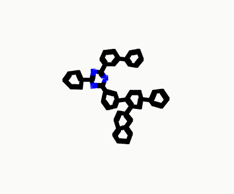 c1ccc(-c2cccc(-c3nc(-c4ccccc4)nc(-c4cccc(-c5ccc(-c6ccccc6)cc5-c5ccc6ccccc6c5)c4)n3)c2)cc1